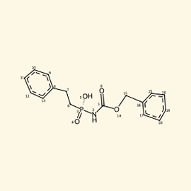 O=C(N[P@](=O)(O)CCc1ccccc1)OCc1ccccc1